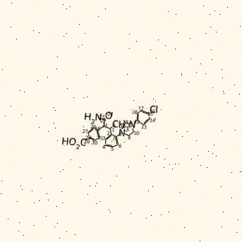 CC(c1ccccc1N1CCN(c2ccc(Cl)cc2)CC1)C(C(N)=O)c1ccc(C(=O)O)cc1